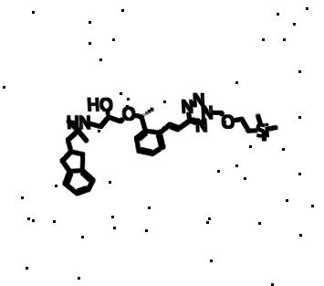 C[C@@H](OC[C@H](O)CNC(C)(C)CC1Cc2ccccc2C1)c1ccccc1/C=C/c1nnn(COCC[Si](C)(C)C)n1